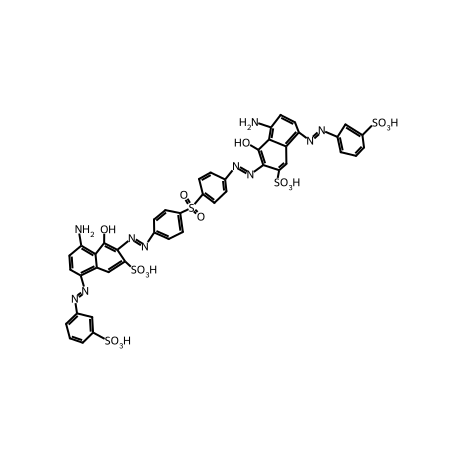 Nc1ccc(N=Nc2cccc(S(=O)(=O)O)c2)c2cc(S(=O)(=O)O)c(N=Nc3ccc(S(=O)(=O)c4ccc(N=Nc5c(S(=O)(=O)O)cc6c(N=Nc7cccc(S(=O)(=O)O)c7)ccc(N)c6c5O)cc4)cc3)c(O)c12